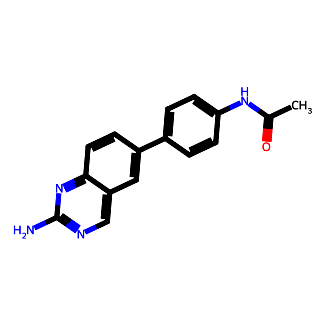 CC(=O)Nc1ccc(-c2ccc3nc(N)ncc3c2)cc1